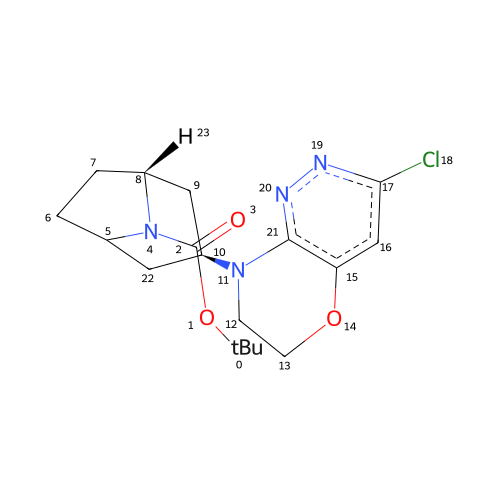 CC(C)(C)OC(=O)N1C2CC[C@@H]1C[C@@H](N1CCOc3cc(Cl)nnc31)C2